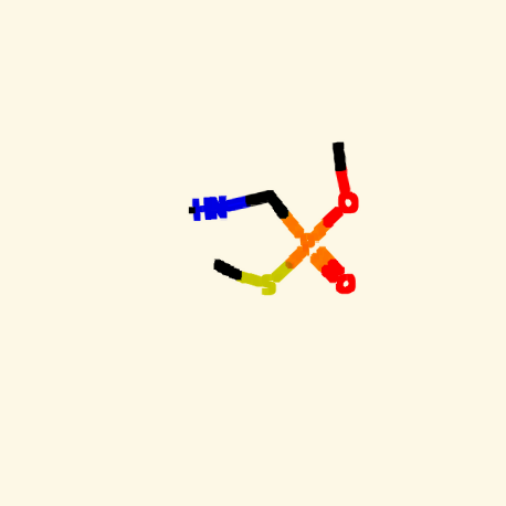 COP(=O)(C[NH])SC